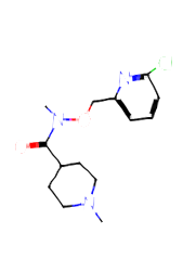 CN1CCC(C(=O)N(C)OCc2cccc(Cl)n2)CC1